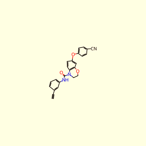 C#Cc1cccc(NC(=O)N2CCOc3cc(Oc4ccc(C#N)cc4)ccc32)c1